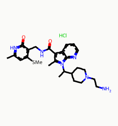 CSc1cc(C)[nH]c(=O)c1CNC(=O)c1c(C)n(C(C)C2CCN(CCN)CC2)c2ncccc12.Cl